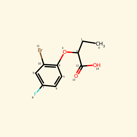 CCC(Oc1ccc(F)cc1Br)C(=O)O